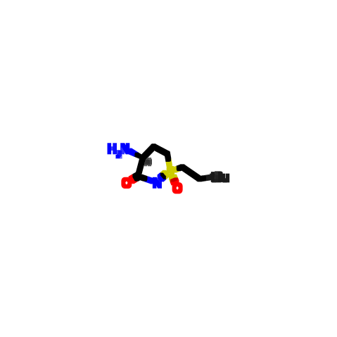 CC(C)(C)CCS1(=O)=NC(=O)[C@@H](N)CC1